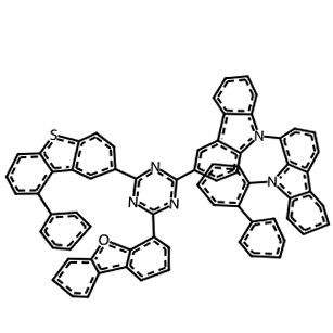 c1ccc(-c2ccccc2-n2c3ccccc3c3cccc(-n4c5ccccc5c5cc(-c6nc(-c7ccc8sc9cccc(-c%10ccccc%10)c9c8c7)nc(-c7cccc8c7oc7ccccc78)n6)ccc54)c32)cc1